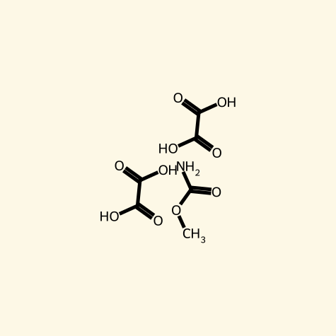 COC(N)=O.O=C(O)C(=O)O.O=C(O)C(=O)O